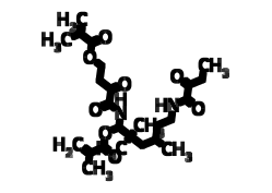 C=C(C)C(=O)OCCC(=O)C(=O)NC(OC(=O)C(=C)C)C(C)(C)CC(C)CCNC(=O)C(=O)CC